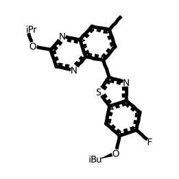 C[CH][C@H](C)Oc1cc2sc(-c3cc(C)cc4nc(OC(C)C)cnc34)nc2cc1F